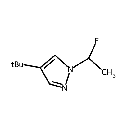 CC(F)n1cc(C(C)(C)C)cn1